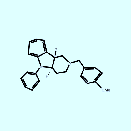 COc1ccc(CN2CC[C@@H]3[C@@H](C2)c2ccccc2N3c2ccccc2)cc1